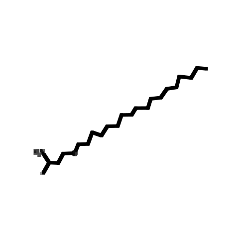 [CH2]C(N)CCOCCCCCCCCCCCCCCCCCC